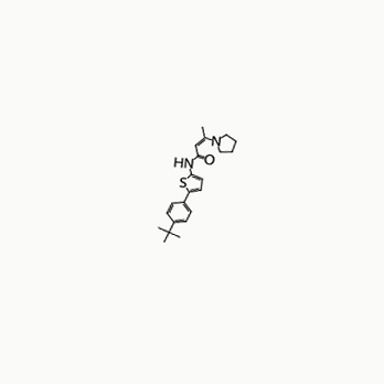 CC(=CC(=O)Nc1ccc(-c2ccc(C(C)(C)C)cc2)s1)N1CCCC1